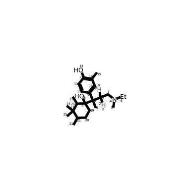 [2H]C([2H])(CN(C)CC)C(C)(c1ccc(O)c(C)c1)C1(O)CCC(C)C(C)(C)C1C